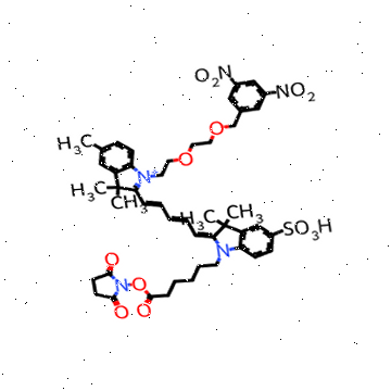 Cc1ccc2c(c1)C(C)(C)C(/C=C/C=C/C=C1/N(CCCCCC(=O)ON3C(=O)CCC3=O)c3ccc(S(=O)(=O)O)cc3C1(C)C)=[N+]2CCOCCOCc1cc([N+](=O)[O-])cc([N+](=O)[O-])c1